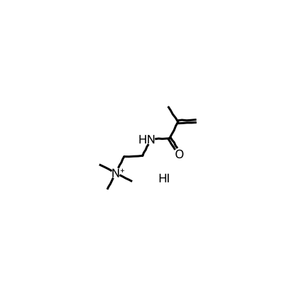 C=C(C)C(=O)NCC[N+](C)(C)C.I